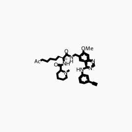 C#Cc1cccc(Nc2ncnc3cc(OC)c(CNC(=O)[C@H](CCCCCC(C)=O)NC(=O)C4CCCCN4C)cc23)c1